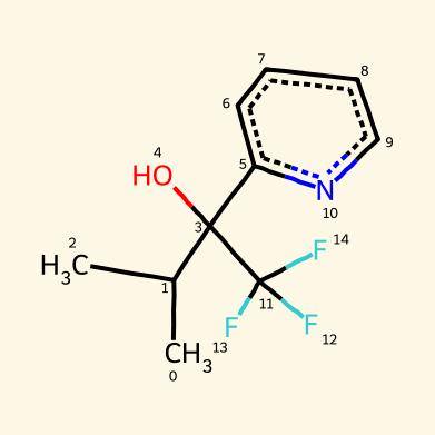 CC(C)C(O)(c1ccccn1)C(F)(F)F